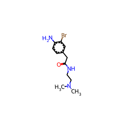 CN(C)CCNC(=O)Cc1ccc(N)c(Br)c1